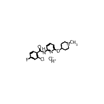 CN1CCC(Oc2cccc(NC(=O)c3ccc(F)cc3Cl)n2)CC1.[Cl-].[H+]